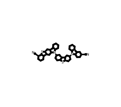 N#Cc1ccc2c(c1)c1ccccc1n2-c1ccc2sc3ccc(-n4c5ccccc5c5cc6sc7c(C#N)cccc7c6cc54)cc3c2c1